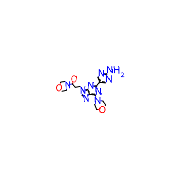 Nc1ncc(-c2nc(N3CCOCC3)c3ncn(CCC(=O)N4CCOCC4)c3n2)cn1